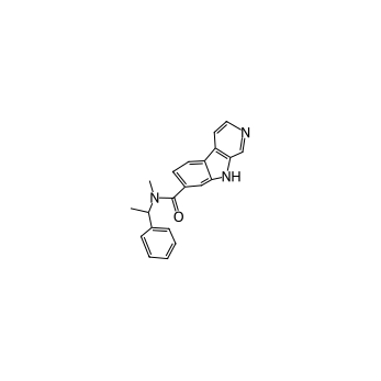 CC(c1ccccc1)N(C)C(=O)c1ccc2c(c1)[nH]c1cnccc12